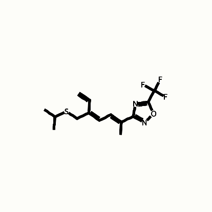 C=C/C(=C\C=C(/C)c1noc(C(F)(F)F)n1)CSC(C)C